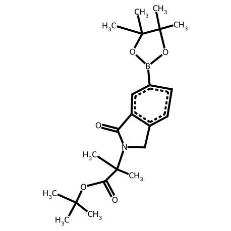 CC(C)(C)OC(=O)C(C)(C)N1Cc2ccc(B3OC(C)(C)C(C)(C)O3)cc2C1=O